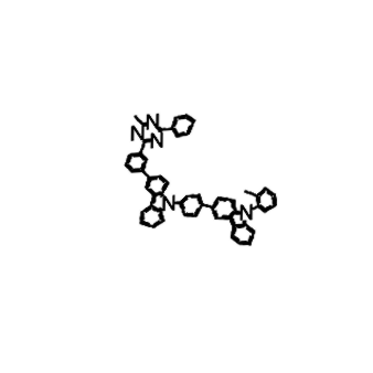 Cc1nc(-c2ccccc2)nc(-c2cccc(-c3ccc4c(c3)c3ccccc3n4-c3ccc(-c4ccc5c(c4)c4ccccc4n5-c4ccccc4C)cc3)c2)n1